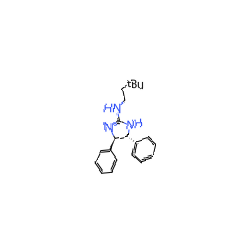 CC(C)(C)CCNC1=N[C@H](c2ccccc2)[C@@H](c2ccccc2)N1